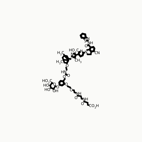 Cc1c(-c2ccc(N3CCc4c(C#N)ccc(C(=O)Nc5nc6ccccc6s5)c4C3)nc2C(=O)O)cnn1CC12CC3(C)CC(C)(C1)CC(OCCNC(=O)OCc1ccc(O[C@@H]4O[C@H](C(=O)O)[C@@H](O)[C@H](O)[C@H]4O)cc1OCCOCCNC(=O)CCNC(=O)CCC(=O)O)(C3)C2